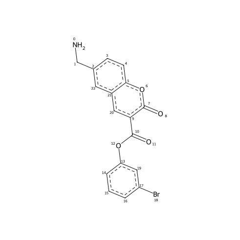 NCc1ccc2oc(=O)c(C(=O)Oc3cccc(Br)c3)cc2c1